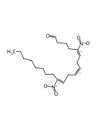 CCCCCCCC/C(=C\C/C=C\C/C=C(\CCC[C]=O)[N+](=O)[O-])[N+](=O)[O-]